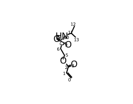 C=CC(=O)OCCS(=O)(=O)NC(C)C